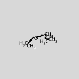 CC(C)C#CCOCCCN(C)CC(C)(C)C